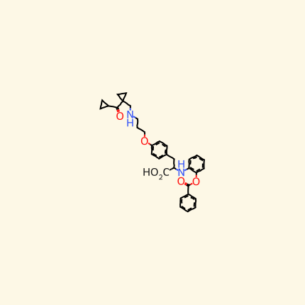 O=C(Oc1ccccc1NC(Cc1ccc(OCCCNCC2(C(=O)C3CC3)CC2)cc1)C(=O)O)c1ccccc1